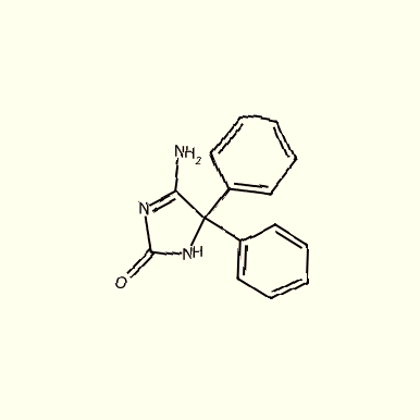 NC1=NC(=O)NC1(c1ccccc1)c1ccccc1